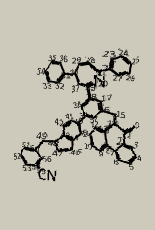 C=C1c2ccccc2-c2ccccc2C1Cc1cc(C2=NC(c3ccccc3)=C=CC(c3ccccc3)=C2)cc(-c2ccc3c(c2)C=CC3Cc2cccc(C#N)c2)c1